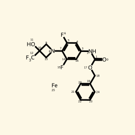 O=C(Nc1cc(F)c(N2CC(O)(C(F)(F)F)C2)c(F)c1)OCc1ccccc1.[Fe]